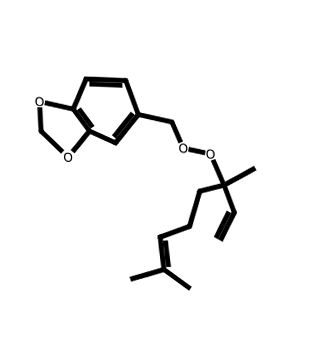 C=CC(C)(CCC=C(C)C)OOCc1ccc2c(c1)OCO2